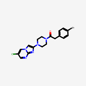 CC(C)c1ccc(CC(=O)N2CCN(c3cn4cc(Cl)cnc4n3)CC2)cc1